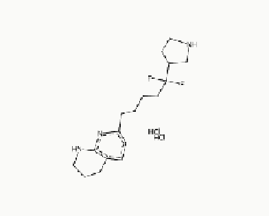 Cl.Cl.FC(F)(CCCCc1ccc2c(n1)NCCC2)C1CCNC1